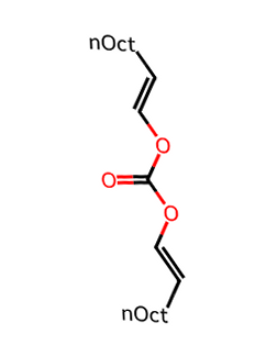 CCCCCCCC/C=C/OC(=O)O/C=C/CCCCCCCC